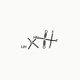 C[Si](C)(C)NS(=O)(=O)C(F)(F)F.[LiH]